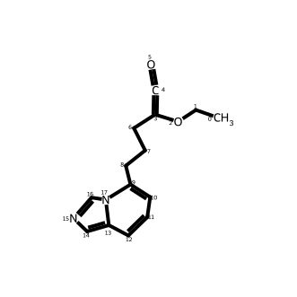 CCOC(=C=O)CCCc1cccc2cncn12